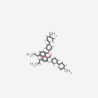 CCCc1ccc(C(OC(c2ccc(CCC)cc2)[C@H]2CC[C@H]([C@H]3CC[C@H](C)CC3)CC2)[C@H]2CC[C@H]([C@H]3CC[C@H](C)CC3)CC2)cc1